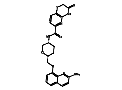 COc1ccc2cccc(OC[C@@H]3CC[C@@H](NC(=O)c4ccc5c(n4)NC(=O)CS5)CO3)c2n1